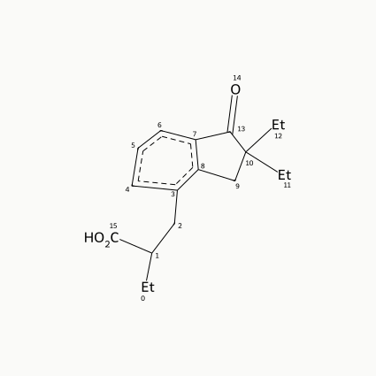 CCC(Cc1cccc2c1CC(CC)(CC)C2=O)C(=O)O